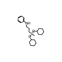 C[Si](CCCNc1ccccc1)(OC1CCCCC1)OC1CCCCC1